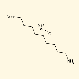 CC(=O)[O-].CCCCCCCCCCCCCCCCCCN.[Na+]